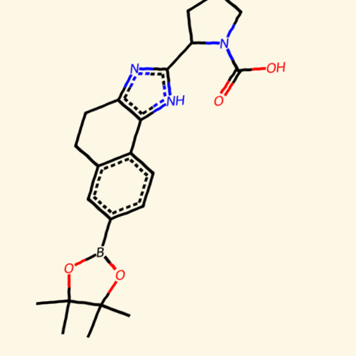 CC1(C)OB(c2ccc3c(c2)CCc2nc(C4CCCN4C(=O)O)[nH]c2-3)OC1(C)C